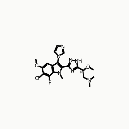 COc1cc2c(-n3ccnc3)c(-c3n[nH]c([C@H](CN(C)C)OC)n3)n(C)c2c(F)c1Cl